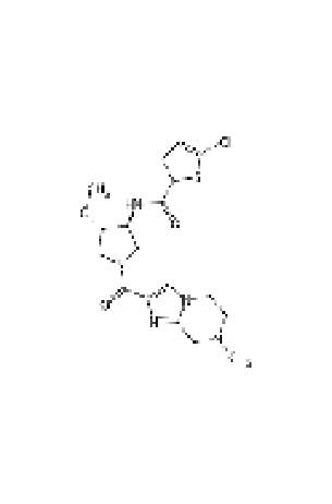 CO[C@H]1CN(C(=O)c2cn3c(n2)CN(C)CC3)C[C@@H]1NC(=O)C1CC=C(Cl)S1